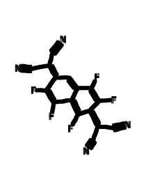 N#CC(C#N)=c1cc2c(F)c(F)c(=C(C#N)C#N)c(F)c2c(F)c1F